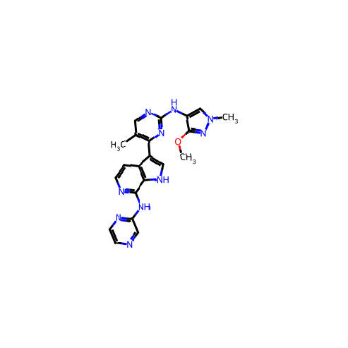 COc1nn(C)cc1Nc1ncc(C)c(-c2c[nH]c3c(Nc4cnccn4)nccc23)n1